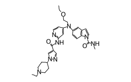 CCOCCN(c1ccnc(NC(=O)c2cnn(C3CCN(CC)CC3)c2)c1)c1ccc2c(ccn2C(=O)NC)c1